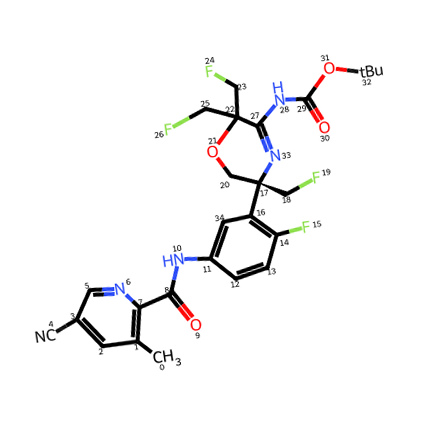 Cc1cc(C#N)cnc1C(=O)Nc1ccc(F)c([C@]2(CF)COC(CF)(CF)C(NC(=O)OC(C)(C)C)=N2)c1